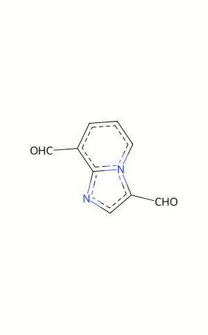 O=Cc1cccn2c(C=O)cnc12